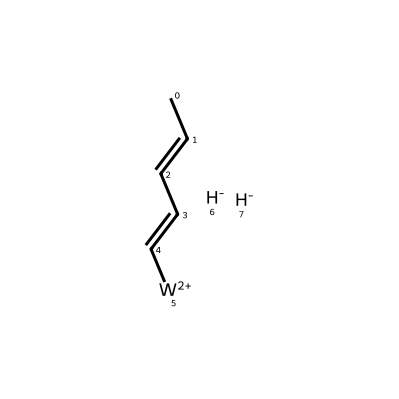 CC=CC=[CH][W+2].[H-].[H-]